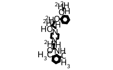 [2H]C([2H])([2H])Oc1ccccc1OC([2H])([2H])C([2H])(O)CN1CCN(C([2H])([2H])C(=O)Nc2c(C)cccc2C)CC1